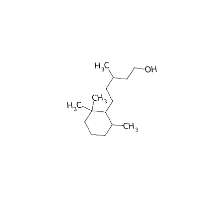 CC(CCO)CCC1C(C)CCCC1(C)C